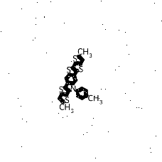 Cc1ccc(-n2c3cc4c(cc3c3sc5cc(C)sc5c32)sc2c3sc(C)cc3sc42)cc1